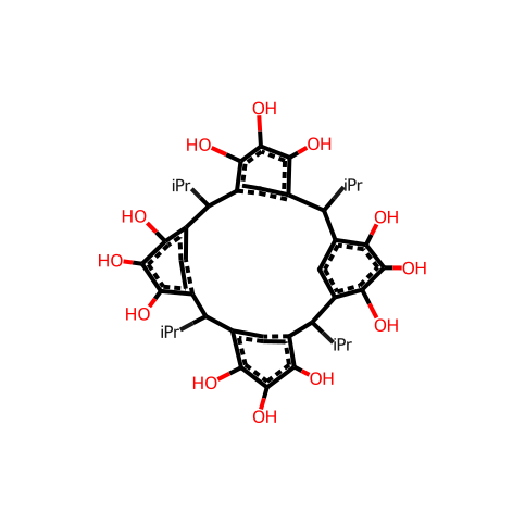 CC(C)C1c2cc(c(O)c(O)c2O)C(C(C)C)c2cc(c(O)c(O)c2O)C(C(C)C)c2cc(c(O)c(O)c2O)C(C(C)C)c2cc1c(O)c(O)c2O